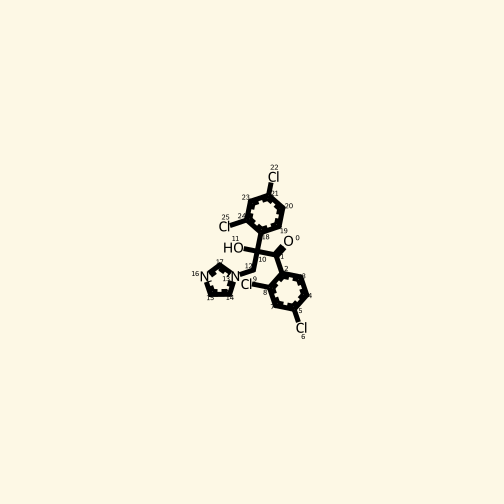 O=C(c1ccc(Cl)cc1Cl)C(O)(Cn1ccnc1)c1ccc(Cl)cc1Cl